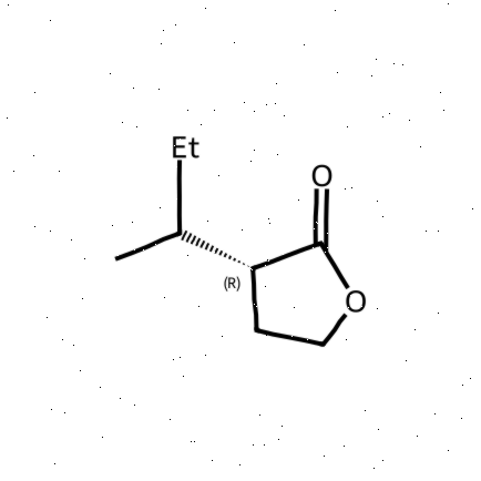 CCC(C)[C@H]1CCOC1=O